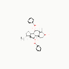 CC(=O)C1CCC2C3C([C@H](OC(=O)c4ccccc4)C[C@]12C)[C@@]1(C)CCC(=O)C[C@H]1C[C@@H]3OC(=O)c1ccccc1